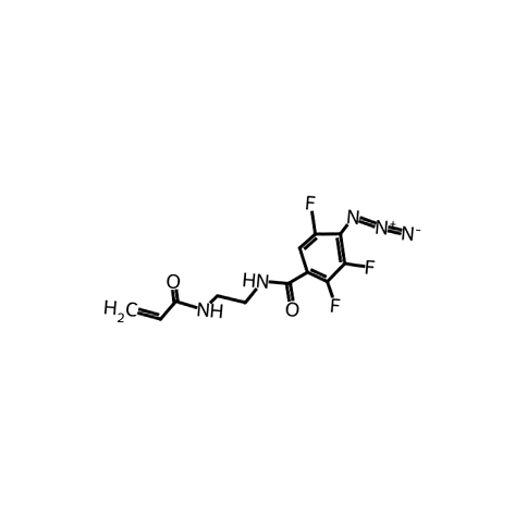 C=CC(=O)NCCNC(=O)c1cc(F)c(N=[N+]=[N-])c(F)c1F